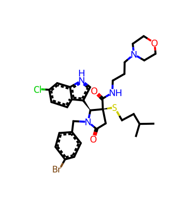 CC(C)CCS[C@@]1(C(=O)NCCCN2CCOCC2)CC(=O)N(Cc2ccc(Br)cc2)[C@H]1c1c[nH]c2cc(Cl)ccc12